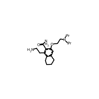 CC(C)N(CCOc1cc2c(c(CCN)c1C(N)=O)CCCC2)C(C)C